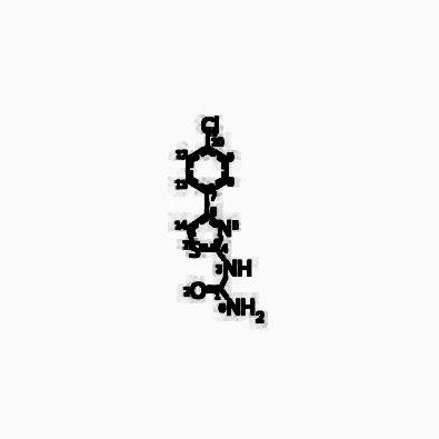 NC(=O)Nc1nc(-c2ccc(Cl)cc2)cs1